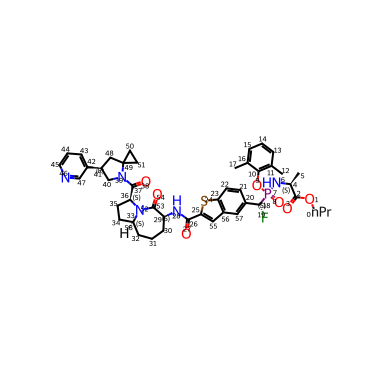 CCCOC(=O)[C@H](C)NP(=O)(Oc1c(C)cccc1C)[C@H](F)c1ccc2sc(C(=O)N[C@H]3CCC[C@H]4CC[C@@H](C(=O)N5C[C@@H](c6cccnc6)CC56CC6)N4C3=O)cc2c1